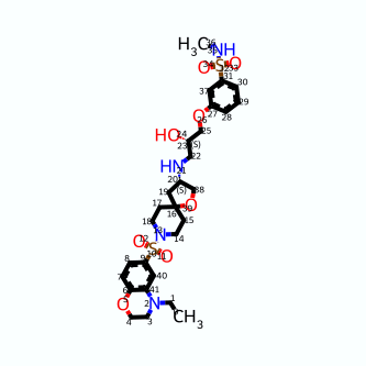 CCN1CCOc2ccc(S(=O)(=O)N3CCC4(CC3)C[C@H](NC[C@H](O)COc3cccc(S(=O)(=O)NC)c3)CO4)cc21